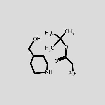 CC(C)(C)OC(=O)C[2O].OCC1CCNCC1